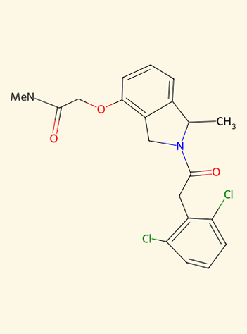 CNC(=O)COc1cccc2c1CN(C(=O)Cc1c(Cl)cccc1Cl)C2C